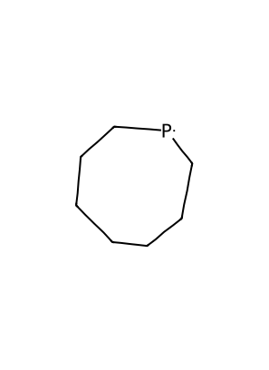 C1CCC[P]CCC1